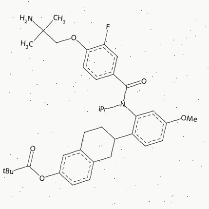 COc1ccc(C2CCc3cc(OC(=O)C(C)(C)C)ccc3C2)c(N(C(=O)c2ccc(OCC(C)(C)N)c(F)c2)C(C)C)c1